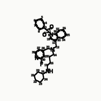 O=S(=O)(c1ccccc1)n1cc(CN(CCCCNC2CCCCC2)Cc2ccnc(F)c2)c2ccccc21